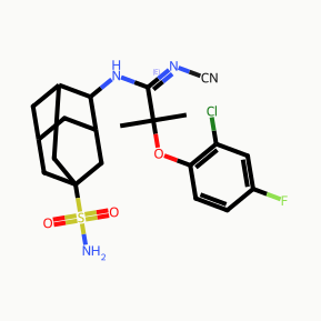 CC(C)(Oc1ccc(F)cc1Cl)/C(=N\C#N)NC1C2CC3CC1CC(S(N)(=O)=O)(C3)C2